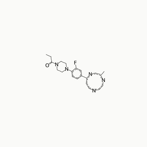 CCC(=O)N1CCN(c2ccc(-c3ccnccnc(C)cn3)cc2F)CC1